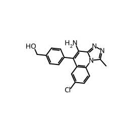 Cc1nnc2c(N)c(-c3ccc(CO)cc3)c3cc(Cl)ccc3n12